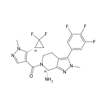 Cn1nc2c(c1-c1cc(F)c(F)c(F)c1)CCN(C(=O)c1cnn(C)c1[C@H]1CC1(F)F)[C@H]2N